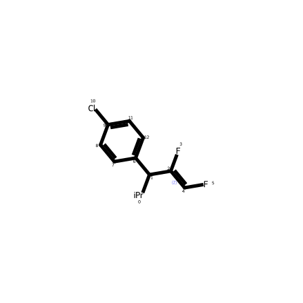 CC(C)C(/C(F)=C/F)c1ccc(Cl)cc1